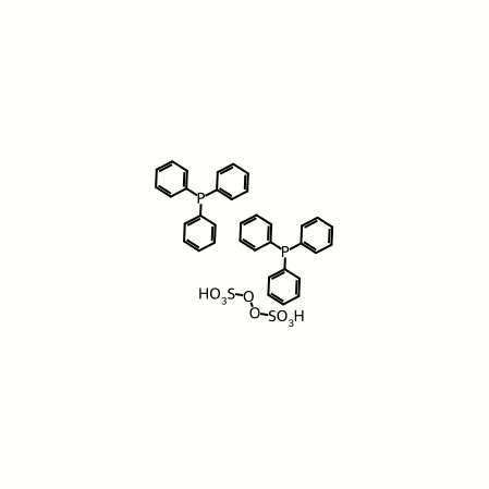 O=S(=O)(O)OOS(=O)(=O)O.c1ccc(P(c2ccccc2)c2ccccc2)cc1.c1ccc(P(c2ccccc2)c2ccccc2)cc1